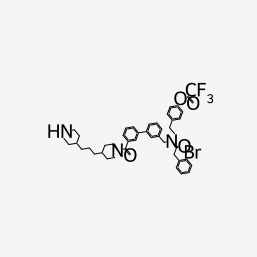 O=C(Cc1ccccc1Br)N(CCc1ccc(OC(=O)C(F)(F)F)cc1)Cc1cccc(-c2cccc(C(=O)N3CCC(CCCC4CCNCC4)CC3)c2)c1